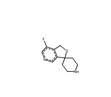 Fc1cncc2c1COC21CCNCC1